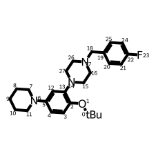 CC(C)(C)Oc1ccc(N2CCCCC2)cc1N1CCN(Cc2ccc(F)cc2)CC1